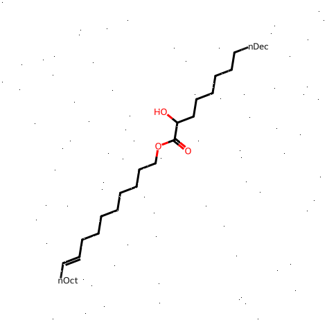 CCCCCCCCC=CCCCCCCCCOC(=O)C(O)CCCCCCCCCCCCCCCC